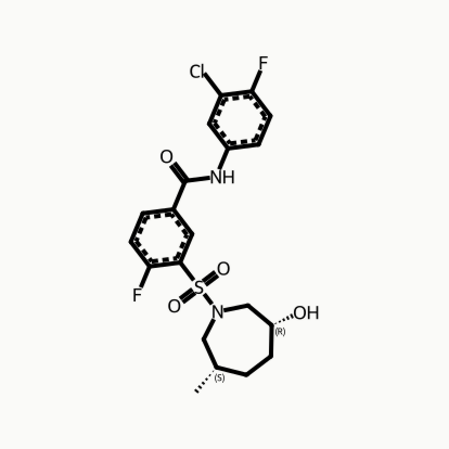 C[C@H]1CC[C@@H](O)CN(S(=O)(=O)c2cc(C(=O)Nc3ccc(F)c(Cl)c3)ccc2F)C1